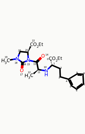 CCOC(=O)[C@H](CCc1ccccc1)N[C@@H](C)C(=O)N1C(=O)N(C)C[C@H]1C(=O)OCC